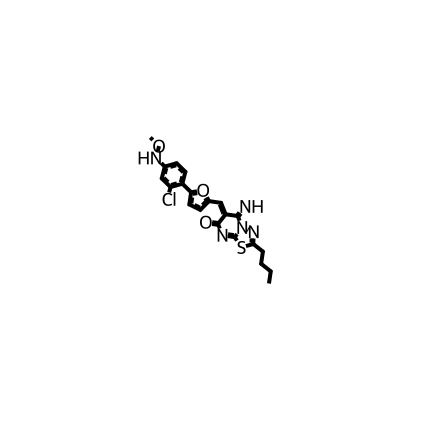 CCCCC1=NN2C(=N)/C(=C/c3ccc(-c4ccc(NOC)cc4Cl)o3)C(=O)N=C2S1